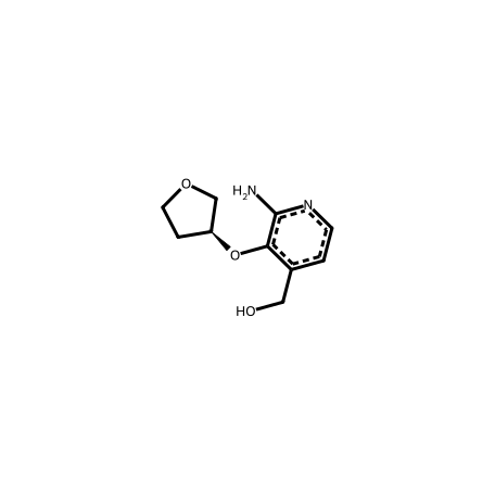 Nc1nccc(CO)c1O[C@H]1CCOC1